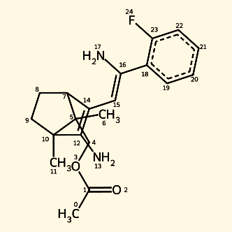 CC(=O)OCC1(C)C2CCC1(C)C(N)=C2/C=C(\N)c1ccccc1F